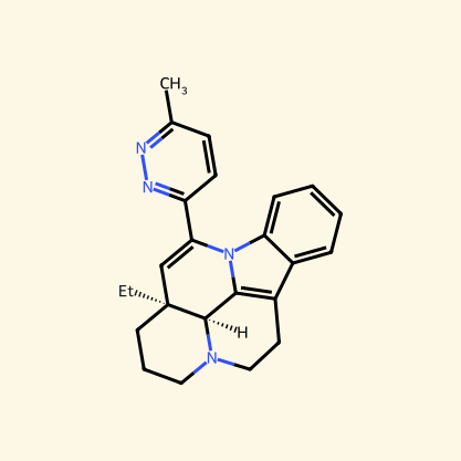 CC[C@@]12C=C(c3ccc(C)nn3)n3c4c(c5ccccc53)CCN(CCC1)[C@H]42